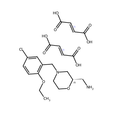 CCOc1ccc(Cl)cc1CN1CCO[C@@H](CN)C1.O=C(O)/C=C/C(=O)O.O=C(O)/C=C/C(=O)O